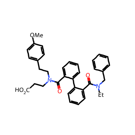 CCN(Cc1ccccc1)C(=O)c1ccccc1-c1ccccc1C(=O)N(CCC(=O)O)CCc1ccc(OC)cc1